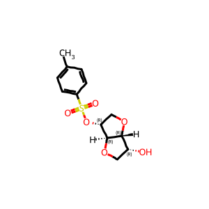 Cc1ccc(S(=O)(=O)O[C@@H]2CO[C@H]3[C@H]2OC[C@H]3O)cc1